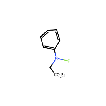 CCOC(=O)CN(F)c1ccccc1